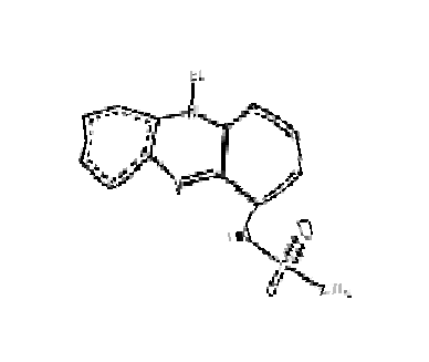 CCN1c2ccccc2N=C2C(NS(C)(=O)=O)=CC=CC21